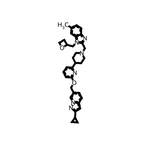 Cc1ccc2nc(CN3CCC(c4cccc(OCc5ccc6cc(C7CC7)nn6c5)n4)CC3)n(CC3CCO3)c2c1